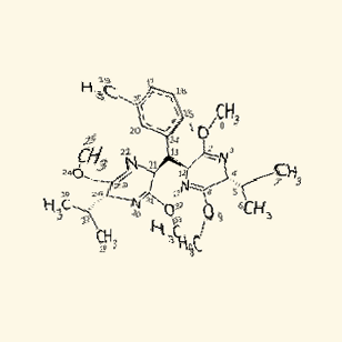 COC1=N[C@H](C(C)C)C(OC)=N[C@H]1C(c1cccc(C)c1)[C@@H]1N=C(OC)[C@@H](C(C)C)N=C1OC